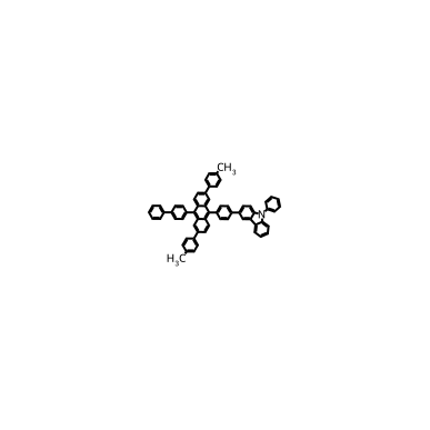 Cc1ccc(-c2ccc3c(-c4ccc(-c5ccc6c(c5)c5ccccc5n6-c5ccccc5)cc4)c4cc(-c5ccc(C)cc5)ccc4c(-c4ccc(-c5ccccc5)cc4)c3c2)cc1